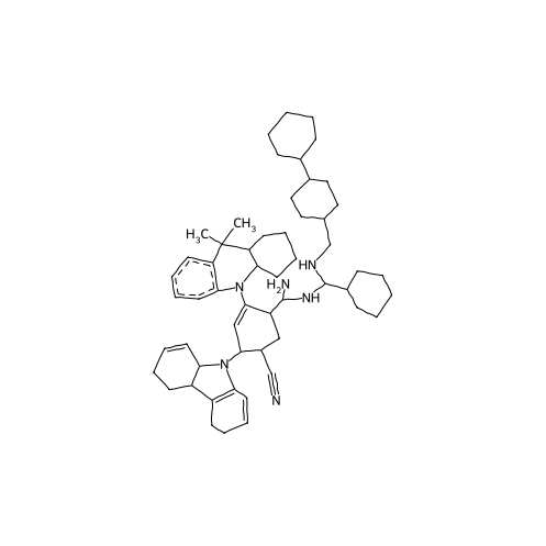 CC1(C)c2ccccc2N(C2=CC(N3C4=C(CCC=C4)C4CCC=CC43)C(C#N)CC2C(N)NC(NCC2CCC(C3CCCCC3)CC2)C2CCCCC2)C2CCCCC21